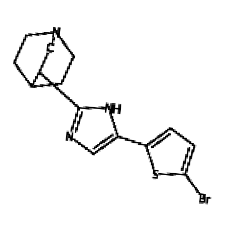 Brc1ccc(-c2cnc(C3CN4CCC3CC4)[nH]2)s1